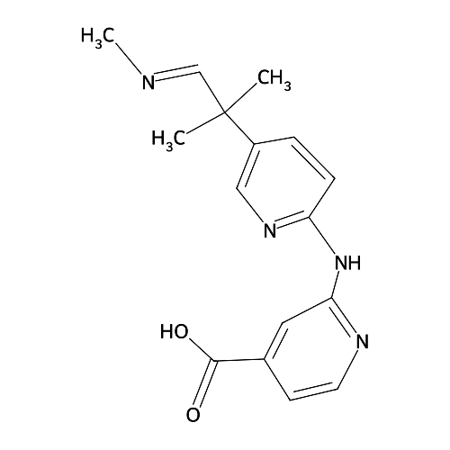 C/N=C/C(C)(C)c1ccc(Nc2cc(C(=O)O)ccn2)nc1